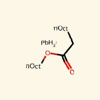 CCCCCCCCCC(=O)OCCCCCCCC.[PbH2]